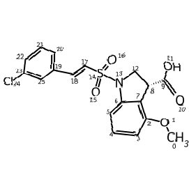 COc1cccc2c1[C@@H](C(=O)O)CN2S(=O)(=O)/C=C/c1cccc(Cl)c1